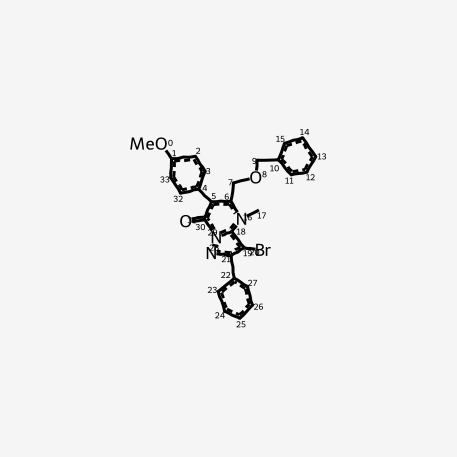 COc1ccc(-c2c(COCc3ccccc3)n(C)c3c(Br)c(-c4ccccc4)nn3c2=O)cc1